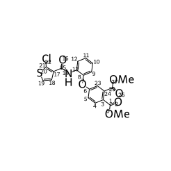 COC(=O)c1ccc(Oc2ccccc2NC(=O)c2ccsc2Cl)cc1C(=O)OC